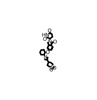 O=C1CCC(N2Cc3cc(O[C@@H]4CCCC[C@H]4N4CC(C5CCS(=O)(=O)CC5)C4)ccc3C2=O)C(=O)N1